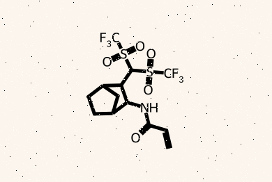 C=CC(=O)NC1C2CCC(C2)C1C(S(=O)(=O)C(F)(F)F)S(=O)(=O)C(F)(F)F